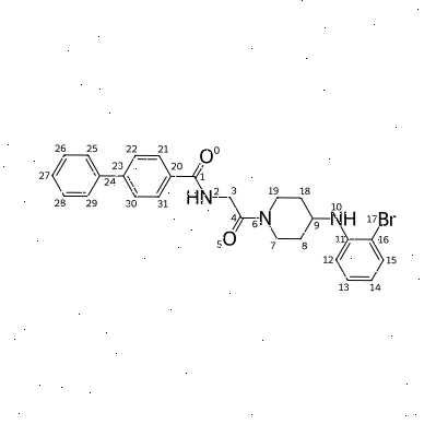 O=C(NCC(=O)N1CCC(Nc2ccccc2Br)CC1)c1ccc(-c2ccccc2)cc1